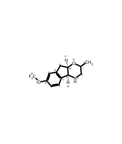 CC1CN[C@H]2c3ccc(OC(F)(F)F)cc3C[C@H]2O1